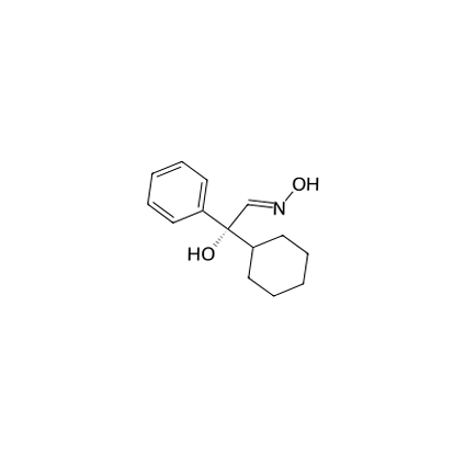 O/N=C/[C@](O)(c1ccccc1)C1CCCCC1